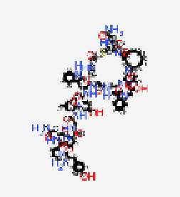 CC(C)CC1NC(=O)[C@H](Cc2cn(CC(=O)O)c3ccccc23)NC(=O)[C@@H](NC(=O)[C@H](Cc2c[nH]c3ccccc23)NC(=O)[C@@H]2C[C@@H](O)CN2C(=O)[C@H](CC(C)C)NC(=O)CNC(=O)[C@H]2CCCN2C(=O)[C@@H](CC(N)=O)NC(=O)[C@@H]2CCCN2C(=O)[C@@H](N)Cc2ccc(O)cc2)CCNCC(=O)CSC[C@@H](C(=O)NCC(N)=O)N(C)C(=O)C2CCCCCCCCC2N(C)C1=O